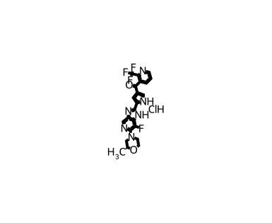 C[C@@H]1CN(c2ncc3nc(-c4cc(C(=O)c5cccnc5C(F)(F)F)c[nH]4)[nH]c3c2F)CCO1.Cl